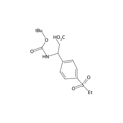 CCS(=O)(=O)c1ccc(C(CC(=O)O)NC(=O)OC(C)(C)C)cc1